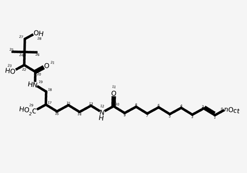 CCCCCCCCC=CCCCCCCCC(=O)NCCCCC(CNC(=O)C(O)C(C)(C)CO)C(=O)O